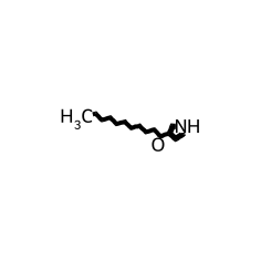 CCCCCCCCCCC(=O)c1cc[nH]c1